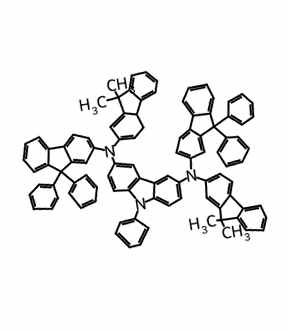 CC1(C)C2=CC(N(c3ccc4c(c3)C(c3ccccc3)(c3ccccc3)c3ccccc3-4)c3ccc4c(c3)c3cc(N(c5ccc6c(c5)C(C)(C)c5ccccc5-6)c5ccc6c(c5)C(c5ccccc5)(c5ccccc5)c5ccccc5-6)ccc3n4-c3ccccc3)=CCC2c2ccccc21